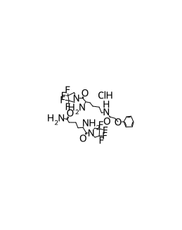 Cl.NC(=O)CCC[C@H](N)C(=O)N1CC(F)(F)C(F)(F)C1.NC(CCCCNC(=O)COc1ccccc1)C(=O)N1CC(F)(F)C(F)(F)C1